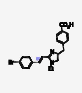 CCn1cc(Cc2ccc(C(=O)O)cc2)nc1/C=C/c1ccc(Br)cc1